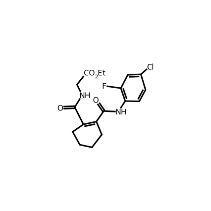 CCOC(=O)CNC(=O)C1=C(C(=O)Nc2ccc(Cl)cc2F)CCCC1